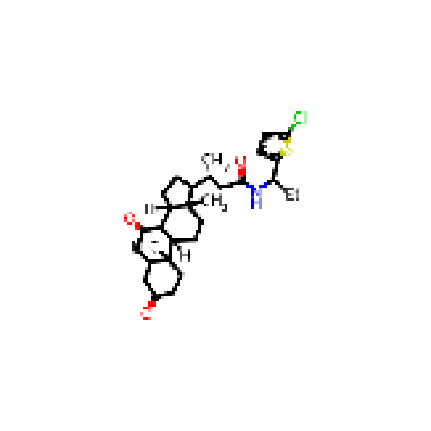 CCC(NC(=O)C[C@@H](C)C1CC[C@H]2C3C(=O)CC4CC(=O)CCC4(C)[C@H]3CCC12C)c1ccc(Cl)s1